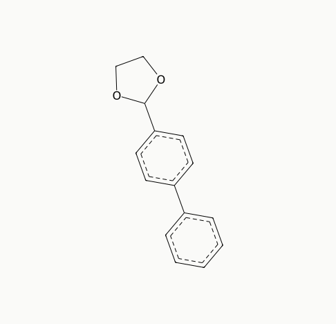 c1ccc(-c2ccc(C3OCCO3)cc2)cc1